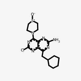 Nc1nc(CC2CCCCC2)c2nc(Cl)nc(N3CC[S+]([O-])CC3)c2n1